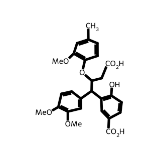 COc1ccc(C(c2cc(C(=O)O)ccc2O)C(CC(=O)O)Oc2ccc(C)cc2OC)cc1OC